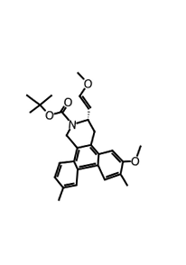 CO/C=C/[C@@H]1Cc2c(c3ccc(C)cc3c3cc(C)c(OC)cc23)CN1C(=O)OC(C)(C)C